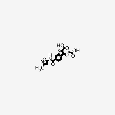 Cc1cc(NC(=O)c2ccc3c(OCC(=O)O)c(C(=O)O)sc3c2)on1